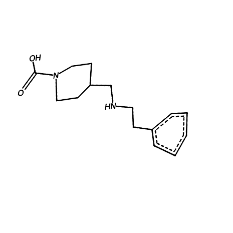 O=C(O)N1CCC(CNCCc2ccccc2)CC1